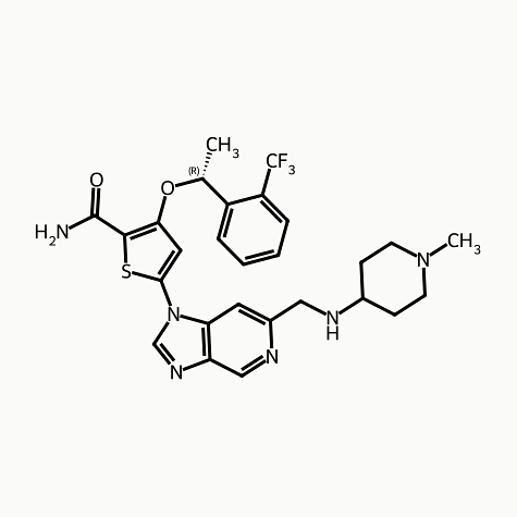 C[C@@H](Oc1cc(-n2cnc3cnc(CNC4CCN(C)CC4)cc32)sc1C(N)=O)c1ccccc1C(F)(F)F